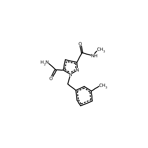 CNC(=O)c1cc(C(N)=O)n(Cc2cccc(C)c2)n1